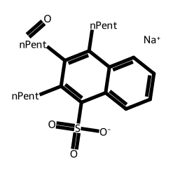 C=O.CCCCCc1c(CCCCC)c(S(=O)(=O)[O-])c2ccccc2c1CCCCC.[Na+]